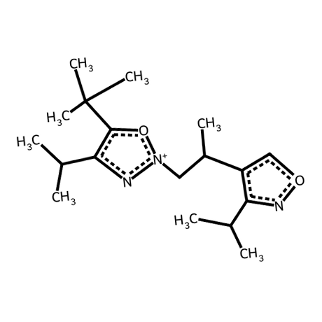 CC(C)c1nocc1C(C)C[n+]1nc(C(C)C)c(C(C)(C)C)o1